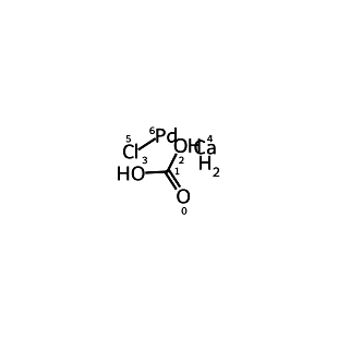 O=C(O)O.[CaH2].[Cl][Pd]